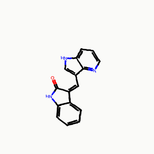 O=C1Nc2ccccc2C1=Cc1c[nH]c2cccnc12